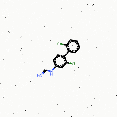 N=CNc1ccc(-c2ccccc2Cl)c(Cl)c1